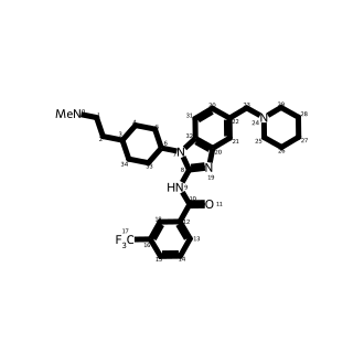 CNCCC1CCC(n2c(NC(=O)c3cccc(C(F)(F)F)c3)nc3cc(CN4CCCCC4)ccc32)CC1